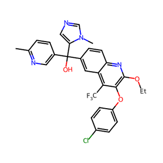 CCOc1nc2ccc(C(O)(c3ccc(C)nc3)c3cncn3C)cc2c(C(F)(F)F)c1Oc1ccc(Cl)cc1